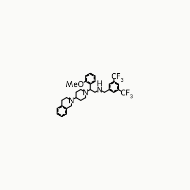 COc1ccccc1C(CNCc1cc(C(F)(F)F)cc(C(F)(F)F)c1)N1CCC(N2CCc3ccccc3C2)CC1